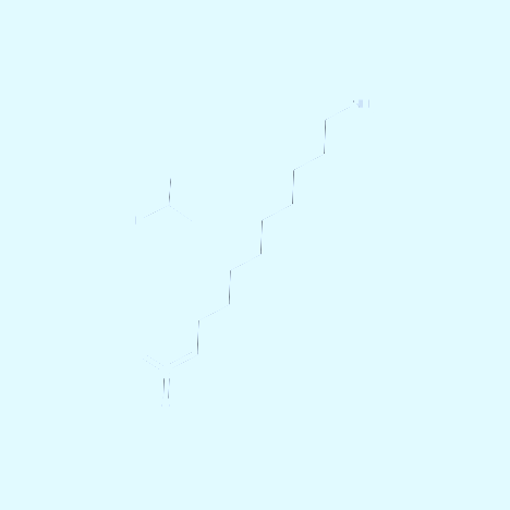 FC(F)F.NCCCCCCCCCC=S(=O)=O